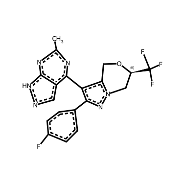 Cc1nc(-c2c(-c3ccc(F)cc3)nn3c2CO[C@@H](C(F)(F)F)C3)c2cn[nH]c2n1